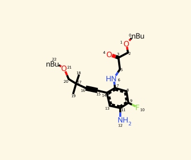 CCCCOCC(=O)CNc1cc(F)c(N)cc1C#CC(C)(C)COCCCC